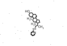 C[C@H](CSSc1ccccn1)C1CCC2C3=CCC4C[C@@H](O)CC[C@]4(C)C3CC[C@@]21C